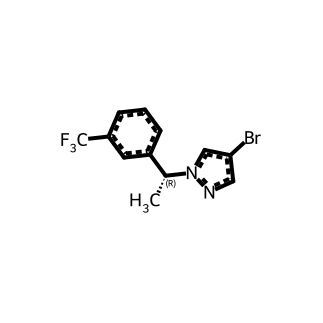 C[C@H](c1cccc(C(F)(F)F)c1)n1cc(Br)cn1